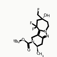 C[C@@H]1Cc2nn3c(c2CN1C(=O)OC(C)(C)C)C(F)(F)C[C@@](O)(CF)CC3